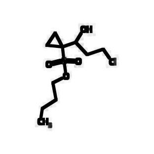 CCCCOS(=O)(=O)C1(C(O)CCCl)CC1